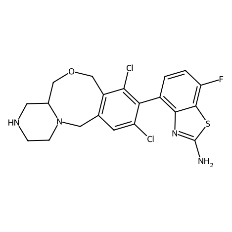 Nc1nc2c(-c3c(Cl)cc4c(c3Cl)COCC3CNCCN3C4)ccc(F)c2s1